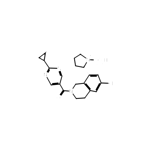 O=C(c1cnc(C2CC2)nc1)N1CCc2cc(Cl)cc([C@@H]3CCCN3C(=O)O)c2C1